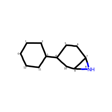 C1CCC(C2CCC3NC3C2)CC1